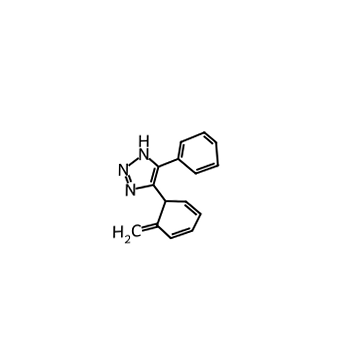 C=C1C=CC=CC1c1nn[nH]c1-c1ccccc1